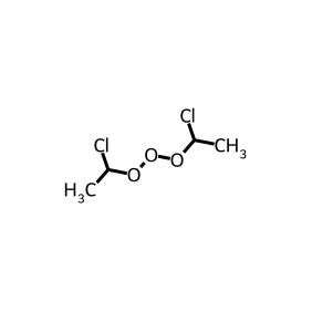 CC(Cl)OOOC(C)Cl